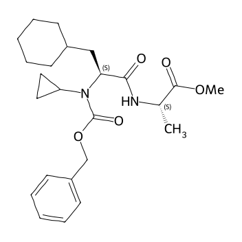 COC(=O)[C@H](C)NC(=O)[C@H](CC1CCCCC1)N(C(=O)OCc1ccccc1)C1CC1